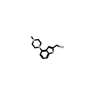 CN1CCN(c2cccc3sc(CO)cc23)CC1